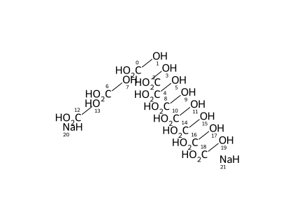 O=C(O)O.O=C(O)O.O=C(O)O.O=C(O)O.O=C(O)O.O=C(O)O.O=C(O)O.O=C(O)O.O=C(O)O.O=C(O)O.[NaH].[NaH]